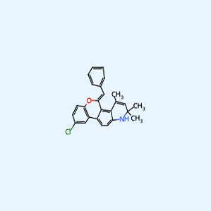 CC1=CC(C)(C)Nc2ccc3c(c21)C(=Cc1ccccc1)Oc1ccc(Cl)cc1-3